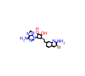 Nc1nc2cc(CC[C@H]3C[C@@H](n4cnc(N)c5ncnc4-5)[C@H](O)[C@@H]3O)ccc2cc1Br